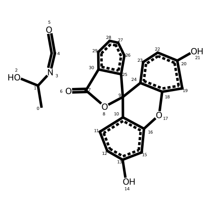 CC(O)N=C=O.O=C1OC2(c3ccc(O)cc3Oc3cc(O)ccc32)c2ccccc21